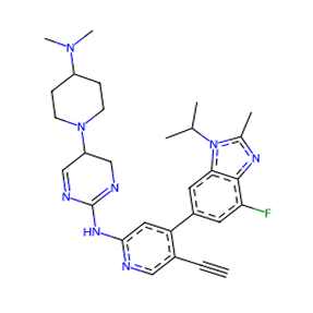 C#Cc1cnc(NC2=NCC(N3CCC(N(C)C)CC3)C=N2)cc1-c1cc(F)c2nc(C)n(C(C)C)c2c1